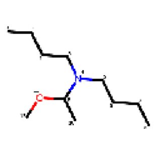 CCCCN(CCCC)C(C)OC